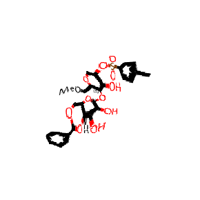 COCC1OCC(OS(=O)(=O)c2ccc(C)cc2)C(O)[C@@H]1O[C@@H]1OC2COC(c3ccccc3)O[C@H]2C(O)C1O